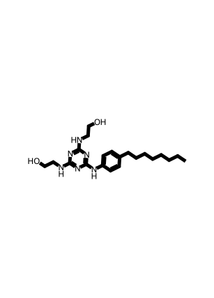 CCCCCCCCc1ccc(Nc2nc(NCCO)nc(NCCO)n2)cc1